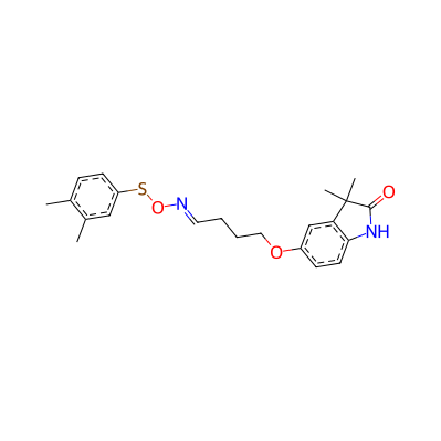 Cc1ccc(SON=CCCCOc2ccc3c(c2)C(C)(C)C(=O)N3)cc1C